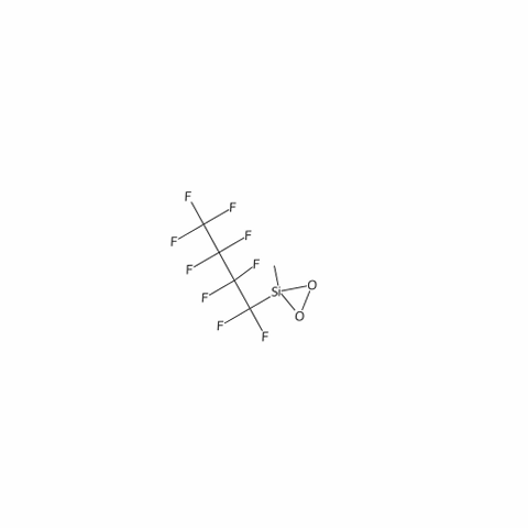 C[Si]1(C(F)(F)C(F)(F)C(F)(F)C(F)(F)F)OO1